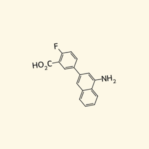 Nc1cc(-c2ccc(F)c(C(=O)O)c2)cc2ccccc12